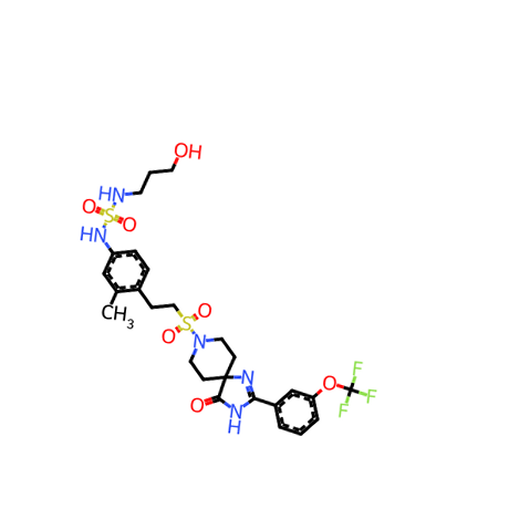 Cc1cc(NS(=O)(=O)NCCCO)ccc1CCS(=O)(=O)N1CCC2(CC1)N=C(c1cccc(OC(F)(F)F)c1)NC2=O